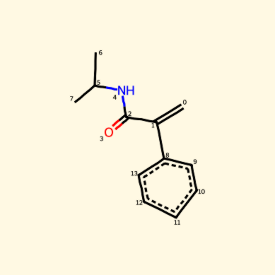 C=C(C(=O)NC(C)C)c1ccccc1